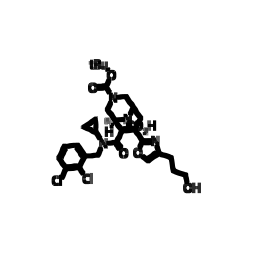 CC(C)(C)OC(=O)N1CC2CC(c3nc(CCCO)co3)=C(C(=O)N(Cc3cccc(Cl)c3Cl)C3CC3)[C@@H](C1)N2C(=O)O